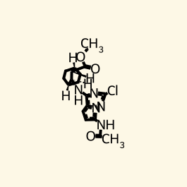 CCOC(=O)[C@H]1[C@H]2CC[C@H](CC2)[C@@H]1Nc1nc(Cl)nn2c(NC(C)=O)ccc12